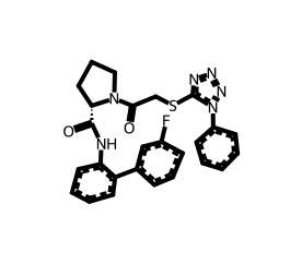 O=C(Nc1ccccc1-c1cccc(F)c1)[C@@H]1CCCN1C(=O)CSc1nnnn1-c1ccccc1